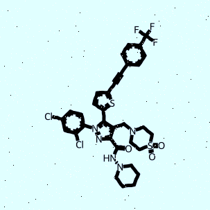 O=C(NN1CCCCC1)c1nn(-c2ccc(Cl)cc2Cl)c(-c2ccc(C#Cc3ccc(C(F)(F)F)cc3)s2)c1CN1CCS(=O)(=O)CC1